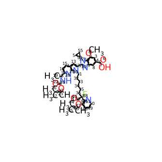 COc1cc(C(=O)O)cc2nc(-c3cc4ccc(C(C)NC(=O)OC(C)(C)C)nc4n3CCCCCCC(F)(C(=O)OC(C)(C)C)c3ccccn3)n(C3CC3)c12